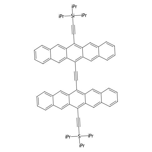 CC(C)[Si](C#Cc1c2cc3ccccc3cc2c(C#Cc2c3cc4ccccc4cc3c(C#CS(C(C)C)(C(C)C)C(C)C)c3cc4ccccc4cc23)c2cc3ccccc3cc12)(C(C)C)C(C)C